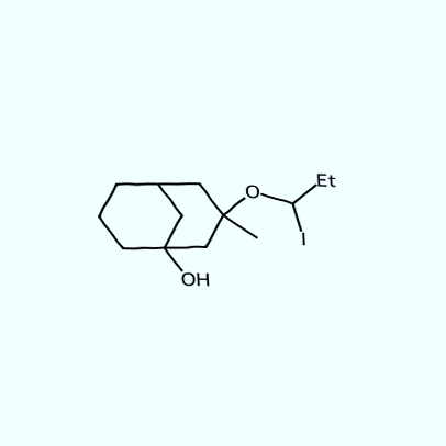 CCC(I)OC1(C)CC2CCCC(O)(C2)C1